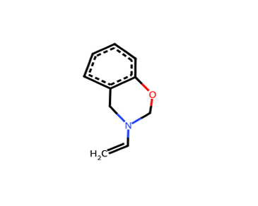 C=CN1COc2ccccc2C1